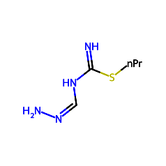 CCCSC(=N)N/C=N\N